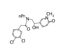 CCCN(CC(O)c1ccc(=O)n(C)c1)C(=O)Cc1ccc(Cl)c(Cl)c1